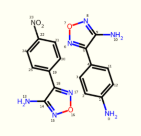 Nc1ccc(-c2nonc2N)cc1.Nc1nonc1-c1ccc([N+](=O)[O-])cc1